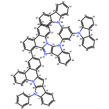 c1ccc(-n2c3ccccc3c3cc4c5ccc(-c6cccc7c8ccccc8n8c(nc9c%10ccccc%10n(-c%10cc(-n%11c%12ccccc%12c%12ccccc%12%11)cc(-n%11c%12ccccc%12c%12ccccc%12%11)c%10)c98)c67)cc5c5ccccc5n4c32)cc1